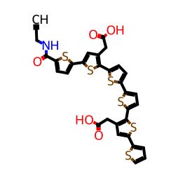 C#CCNC(=O)c1ccc(-c2cc(CC(=O)O)c(-c3ccc(-c4ccc(-c5sc(-c6cccs6)cc5CC(=O)O)s4)s3)s2)s1